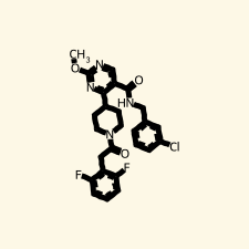 COc1ncc(C(=O)NCc2cccc(Cl)c2)c(C2CCN(C(=O)Cc3c(F)cccc3F)CC2)n1